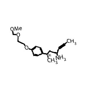 CC#CC(N)C[C@@H](C)c1ccc(OCCOCOC)cc1